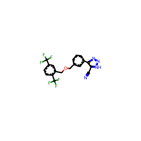 N#Cc1[nH]nnc1-c1cccc(COCc2cc(C(F)(F)F)ccc2C(F)(F)F)c1